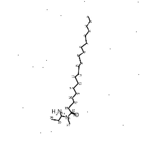 CCCCCCCCCCCCCCCCCCCC(=O)N(C)C(N)CC